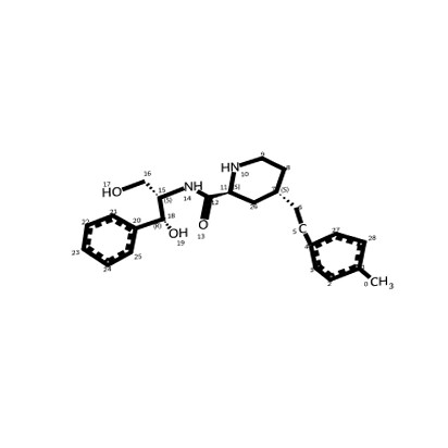 Cc1ccc(CC[C@H]2CCN[C@H](C(=O)N[C@@H](CO)[C@H](O)c3ccccc3)C2)cc1